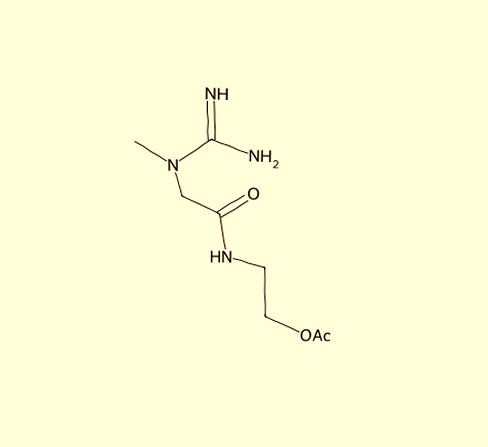 CC(=O)OCCNC(=O)CN(C)C(=N)N